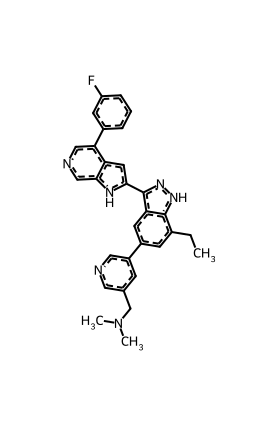 CCc1cc(-c2cncc(CN(C)C)c2)cc2c(-c3cc4c(-c5cccc(F)c5)cncc4[nH]3)n[nH]c12